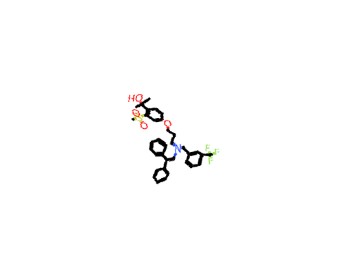 CC(C)(O)c1ccc(OCCCN(Cc2cccc(C(F)(F)F)c2)CC(c2ccccc2)c2ccccc2)cc1S(C)(=O)=O